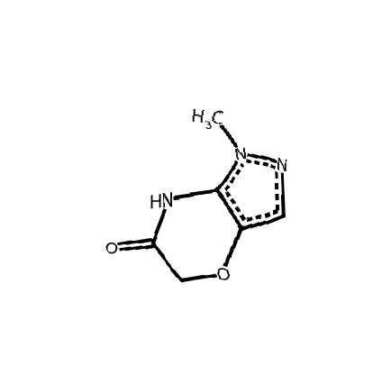 Cn1ncc2c1NC(=O)CO2